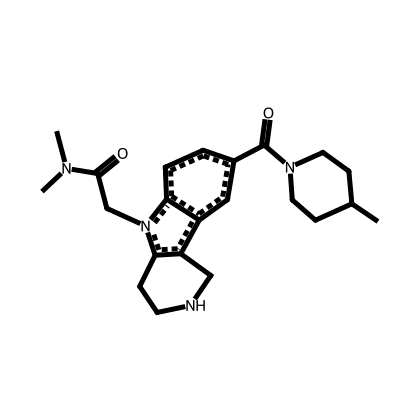 CC1CCN(C(=O)c2ccc3c(c2)c2c(n3CC(=O)N(C)C)CCNC2)CC1